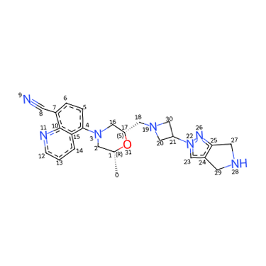 C[C@@H]1CN(c2ccc(C#N)c3ncccc23)C[C@H](CN2CC(n3cc4c(n3)CNC4)C2)O1